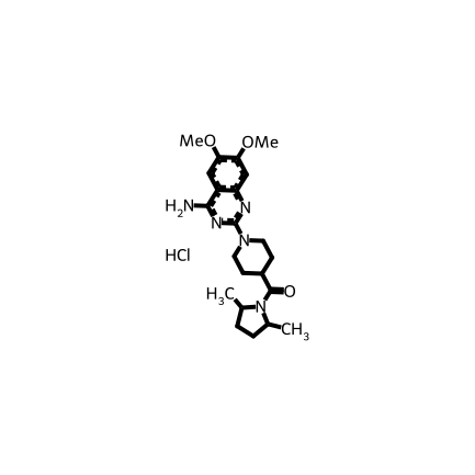 COc1cc2nc(N3CCC(C(=O)N4C(C)CCC4C)CC3)nc(N)c2cc1OC.Cl